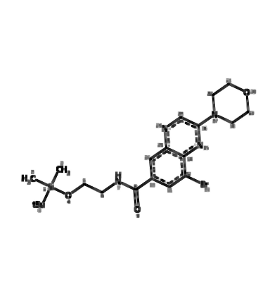 CC(C)(C)[Si](C)(C)OCCNC(=O)c1cc(Br)c2nc(N3CCOCC3)cnc2c1